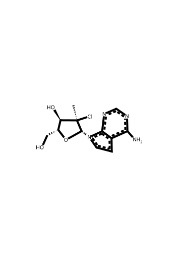 C[C@@]1(Cl)[C@H](O)[C@@H](CO)O[C@H]1n1ccc2c(N)ncnc21